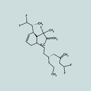 C=C(CC(F)F)C[C@H](CCC)CCC1CC=C[C@@H]([C@@H](C)C(F)F)C1C(C)(F)C(=C)C